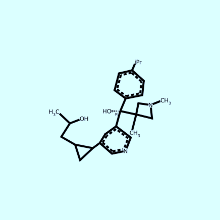 CC(O)CC1CC1c1cncc([C@@](O)(c2ccc(C(C)C)cc2)C2(C)CN(C)C2)c1